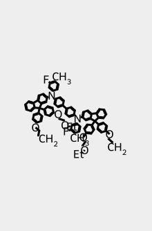 C=CCOc1ccc(C2(c3ccc(OCCOCC)cc3)c3ccccc3-c3ccc(N(c4ccc(-c5ccc(N(c6ccc(C)c(F)c6)c6ccc7c(c6)C(c6ccc(OCC=C)cc6)(c6ccc(OCCOCC)cc6)c6ccccc6-7)cc5)cc4)c4ccc(C)c(F)c4)cc32)cc1